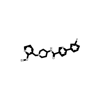 CCOc1ncccc1CN1CCC(NC(=O)c2ccc(-c3cccc(F)c3)nc2)CC1